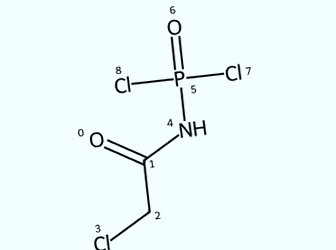 O=C(CCl)NP(=O)(Cl)Cl